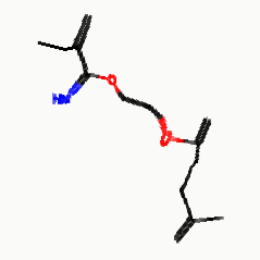 C=C(C)CCC(=C)OCCOC(=N)C(=C)C